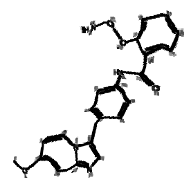 COc1ccn2c(-c3ccc(NC(=O)c4ccccc4OON)cc3)cnc2c1